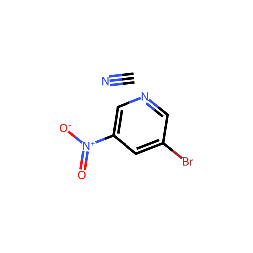 C#N.O=[N+]([O-])c1cncc(Br)c1